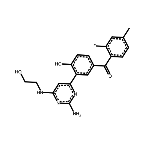 Cc1ccc(C(=O)c2ccc(O)c(-c3cc(NCCO)nc(N)n3)c2)c(F)c1